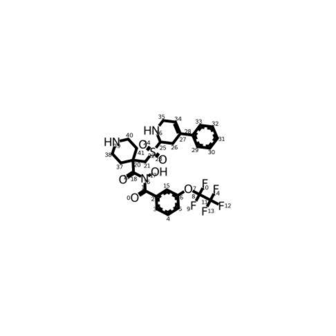 O=C(c1cccc(OC(F)(F)C(F)(F)F)c1)N(O)C(=O)C1(CS(=O)(=O)C2CC(c3ccccc3)=CCN2)CCNCC1